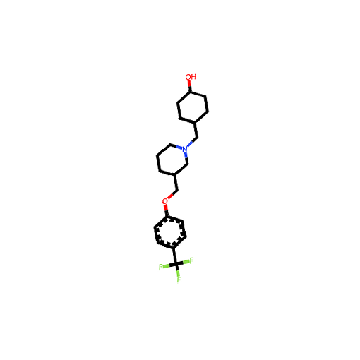 OC1CCC(CN2CCCC(COc3ccc(C(F)(F)F)cc3)C2)CC1